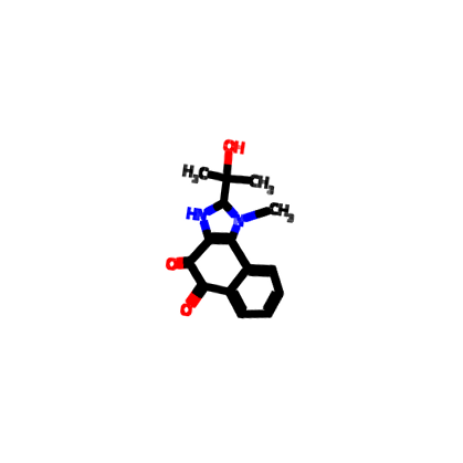 CN1C2=C(NC1C(C)(C)O)C(=O)C(=O)c1ccccc12